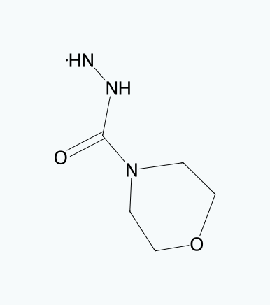 [NH]NC(=O)N1CCOCC1